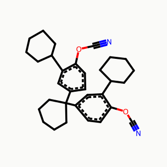 N#COc1ccc(C2(c3ccc(OC#N)c(C4CCCCC4)c3)CCCCC2)cc1C1CCCCC1